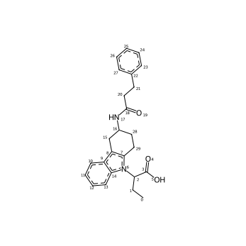 CCC(C(=O)O)n1c2c(c3ccccc31)CC(NC(=O)CCc1ccccc1)CC2